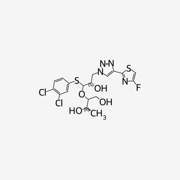 C[C@@H](O)C(CO)OC(Sc1ccc(Cl)c(Cl)c1)[C@@H](O)Cn1cc(-c2nc(F)cs2)nn1